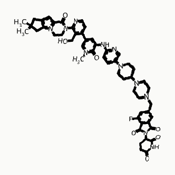 Cn1cc(-c2ccnc(N3CCn4c(cc5c4CC(C)(C)C5)C3=O)c2CO)cc(Nc2ccc(N3CCC(N4CCN(Cc5cc(F)c6c(c5)C(=O)N(C5CCC(=O)NC5=O)C6=O)CC4)CC3)cn2)c1=O